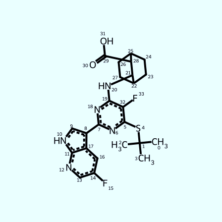 CC(C)(C)Sc1nc(-c2c[nH]c3ncc(F)cc23)nc(NC2C3CCC(CC3)C2C(=O)O)c1F